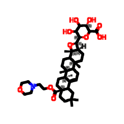 CC1(C)CC[C@]2(C(=O)OCCN3CCOCC3)CC[C@]3(C)C(=CCC4[C@@]5(C)CC[C@@H]6[C@H]([C@@H]7OC(C(=O)O)[C@@H](O)C(O)C7O)O[C@@]6(C)C5CC[C@]43C)C2C1